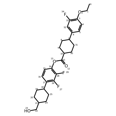 CCOc1ccc(C2CCC(C(=O)Oc3ccc(C4CCC(CO)CC4)c(F)c3F)CC2)cc1F